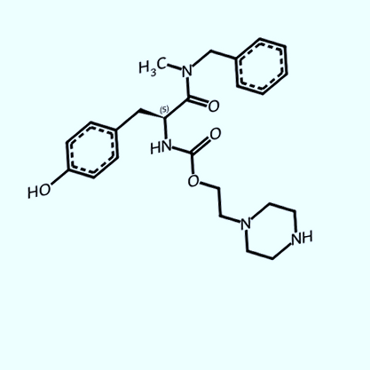 CN(Cc1ccccc1)C(=O)[C@H](Cc1ccc(O)cc1)NC(=O)OCCN1CCNCC1